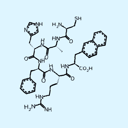 C[C@@H](NC(=O)[C@@H](N)CS)C(=O)N[C@@H](Cc1c[nH]cn1)C(=O)N[C@H](Cc1ccccc1)C(=O)N[C@@H](CCCNC(=N)N)C(=O)N[C@@H](Cc1ccc2ccccc2c1)C(=O)O